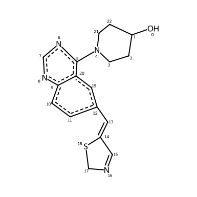 OC1CCN(c2ncnc3ccc(C=C4C=NCS4)cc23)CC1